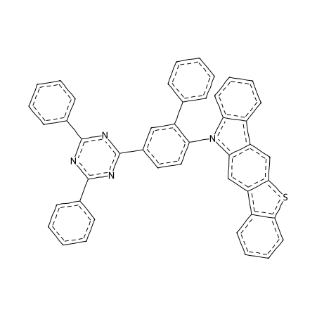 c1ccc(-c2nc(-c3ccccc3)nc(-c3ccc(-n4c5ccccc5c5cc6sc7ccccc7c6cc54)c(-c4ccccc4)c3)n2)cc1